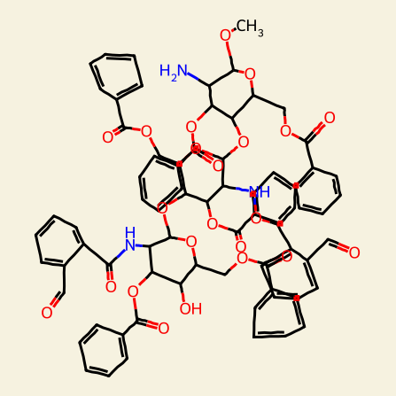 COC1OC(COC(=O)c2ccccc2)C(OC2OC(COC(=O)c3ccccc3)C(OC3OC(COC(=O)c4ccccc4)C(O)C(OC(=O)c4ccccc4)C3NC(=O)c3ccccc3C=O)C(OC(=O)c3ccccc3)C2NOCc2ccccc2C=O)C(OC(=O)c2ccccc2)C1N